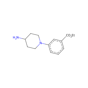 CCOC(=O)c1cccc(N2CCC(N)CC2)c1